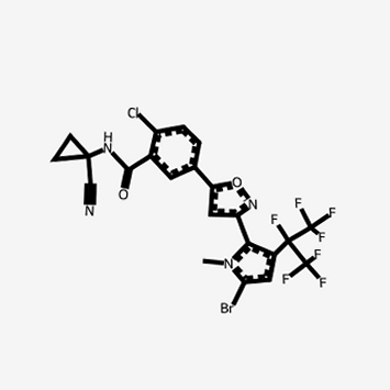 Cn1c(Br)cc(C(F)(C(F)(F)F)C(F)(F)F)c1-c1cc(-c2ccc(Cl)c(C(=O)NC3(C#N)CC3)c2)on1